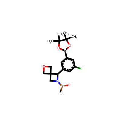 CC(C)(C)[S+]([O-])N1CC2(COC2)C1c1cc(Cl)cc(B2OC(C)(C)C(C)(C)O2)c1